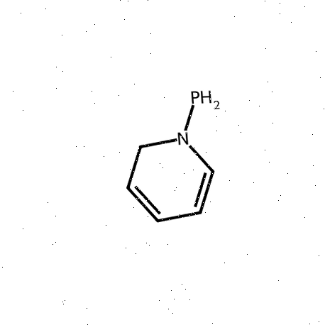 PN1C=CC=CC1